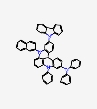 c1ccc(N(c2ccccc2)c2ccc3c(c2)N(c2ccccc2)c2cccc4c2B3c2ccc(-n3c5ccccc5c5ccccc53)cc2N4c2ccc3ccccc3c2)cc1